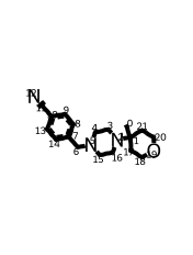 CC1(N2CCN(Cc3ccc(C#N)cc3)CC2)CCOCC1